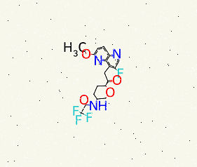 COc1ccc2ncc(F)c(CC(=O)[C@@H]3CC[C@@H](NC(=O)C(F)(F)F)CO3)c2n1